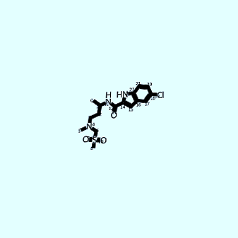 CC(CCN(C)CS(C)(=O)=O)NC(=O)c1cc2cc(Cl)ccc2[nH]1